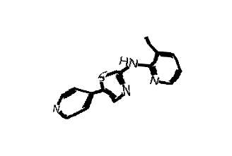 Cc1cccnc1Nc1ncc(-c2ccncc2)s1